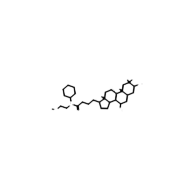 CC12CCC3C(C(O)CC4CC(O)C(F)(F)CC43C)C1CCC2CCCC(=O)N(CCSO)C1CCCCC1